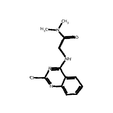 CN(C)C(=O)CNc1nc(Cl)nc2ccccc12